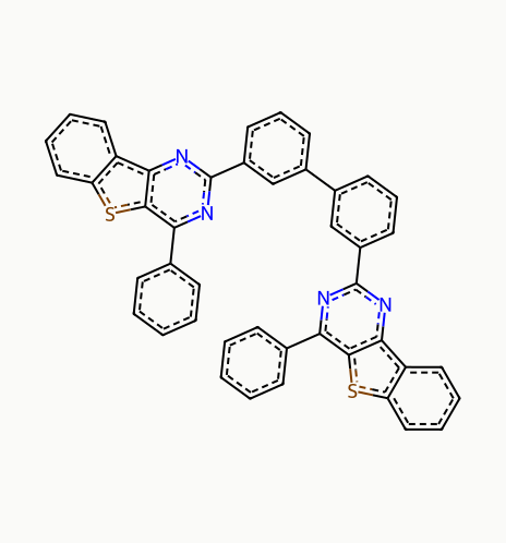 c1ccc(-c2nc(-c3cccc(-c4cccc(-c5nc(-c6ccccc6)c6sc7ccccc7c6n5)c4)c3)nc3c2sc2ccccc23)cc1